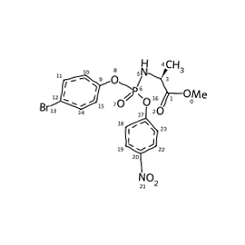 COC(=O)[C@H](C)NP(=O)(Oc1ccc(Br)cc1)Oc1ccc([N+](=O)[O-])cc1